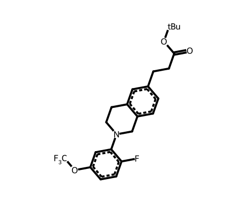 CC(C)(C)OC(=O)CCc1ccc2c(c1)CCN(c1cc(OC(F)(F)F)ccc1F)C2